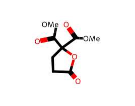 COC(=O)C1(C(=O)OC)CCC(=O)O1